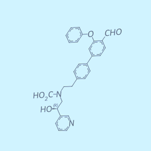 O=Cc1ccc(-c2ccc(CCN(C[C@H](O)c3cccnc3)C(=O)O)cc2)cc1Oc1ccccc1